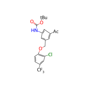 CC(=O)c1cc(COc2ccc(C(F)(F)F)cc2Cl)cc(NC(=O)OC(C)(C)C)c1